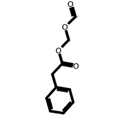 O=[C]OCOC(=O)Cc1ccccc1